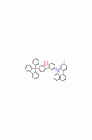 CC1C=C(N(c2ccccc2)c2ccc3oc4cc(C5(c6ccccc6)c6ccccc6-c6ccccc65)ccc4c3c2)C(c2ccccc2)=CC1